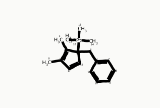 CC1=C(C)[C](Cc2ccccc2)([Pt]([CH3])([CH3])[CH3])C=C1